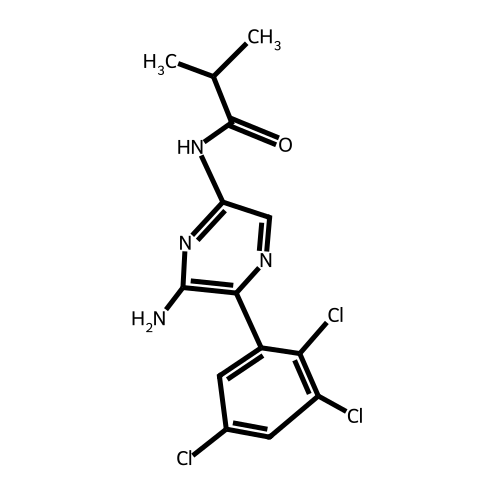 CC(C)C(=O)Nc1cnc(-c2cc(Cl)cc(Cl)c2Cl)c(N)n1